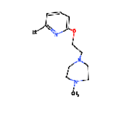 CCc1cccc(OCCN2CCN(C)CC2)n1